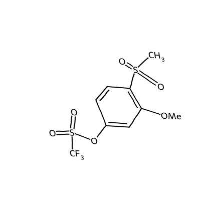 COc1cc(OS(=O)(=O)C(F)(F)F)ccc1S(C)(=O)=O